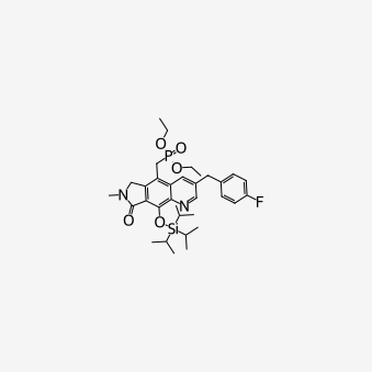 CCOP(=O)(Cc1c2c(c(O[Si](C(C)C)(C(C)C)C(C)C)c3ncc(Cc4ccc(F)cc4)cc13)C(=O)N(C)C2)OCC